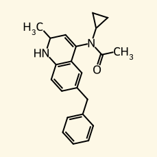 CC(=O)N(C1=CC(C)Nc2ccc(Cc3ccccc3)cc21)C1CC1